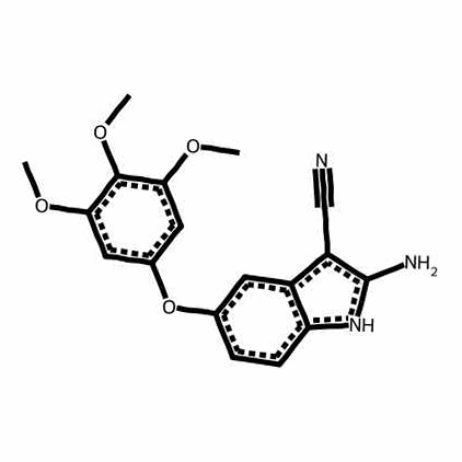 COc1cc(Oc2ccc3[nH]c(N)c(C#N)c3c2)cc(OC)c1OC